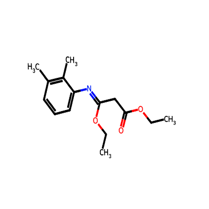 CCOC(=O)C/C(=N/c1cccc(C)c1C)OCC